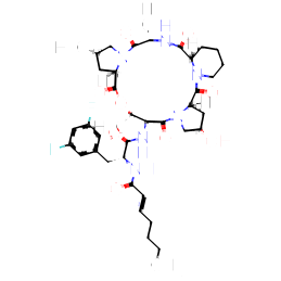 CCCC/C=C/C(=O)N[C@@H](Cc1cc(F)cc(F)c1)C(=O)N[C@@H]1C(=O)N2C[C@H](O)C[C@H]2C(=O)N2CCCC[C@H]2C(=O)N[C@@H](C)C(=O)N2C[C@H](C)C[C@H]2C(=O)O[C@H]1C